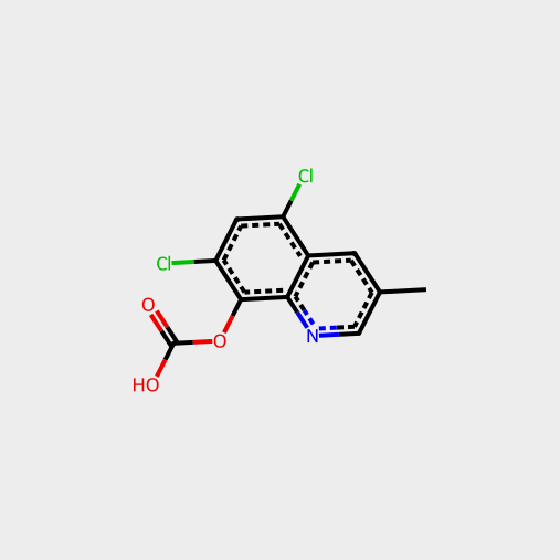 Cc1cnc2c(OC(=O)O)c(Cl)cc(Cl)c2c1